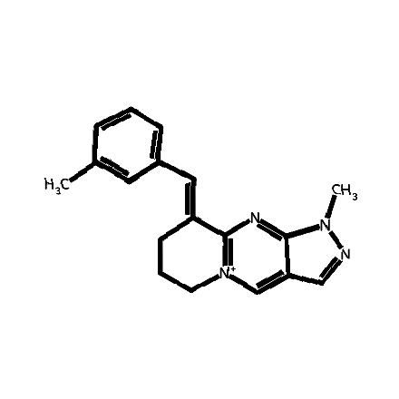 Cc1cccc(/C=C2\CCC[n+]3cc4cnn(C)c4nc32)c1